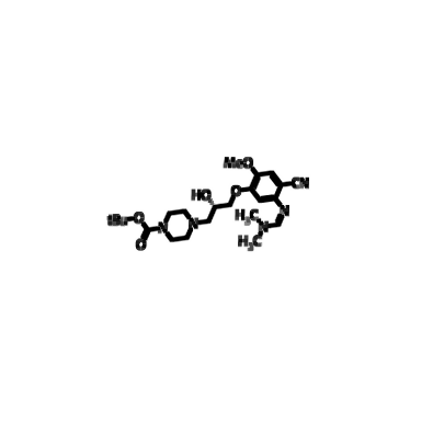 COc1cc(C#N)c(/N=C\N(C)C)cc1OC[C@@H](O)CN1CCN(C(=O)OC(C)(C)C)CC1